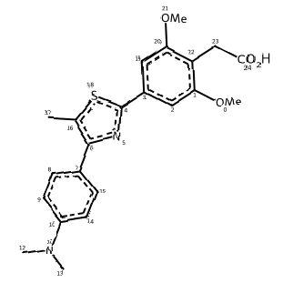 COc1cc(-c2nc(-c3ccc(N(C)C)cc3)c(C)s2)cc(OC)c1CC(=O)O